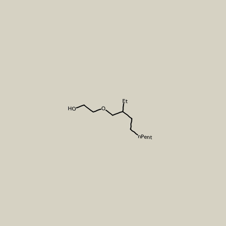 CCCCCCCC(CC)COCCO